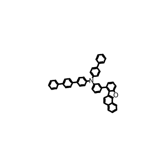 c1ccc(-c2ccc(-c3ccc(N(c4ccc(-c5ccccc5)cc4)c4cccc(-c5cccc6oc7c8ccccc8ccc7c56)c4)cc3)cc2)cc1